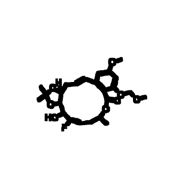 COCOc1cc(OC)cc2c1C(=O)OC(C)C/C=C(/F)C(O)C1OC(C)(C)O[C@H]1C/C=C/2